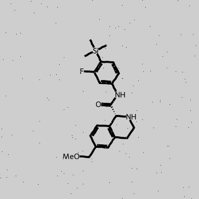 COCc1ccc2c(c1)CCN[C@H]2C(=O)Nc1ccc([Si](C)(C)C)c(F)c1